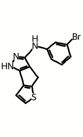 Brc1cccc(Nc2n[nH]c3c2Cc2sccc2-3)c1